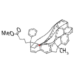 COC(=O)CCCC1(c2ccccc2)C23C=Cc4cc5c6c7c8c9c%10c(c%11c%12c(cc%13ccc(c-8c%13c%129)C7(C)C5)CC%11=C2)C31c4c6%10